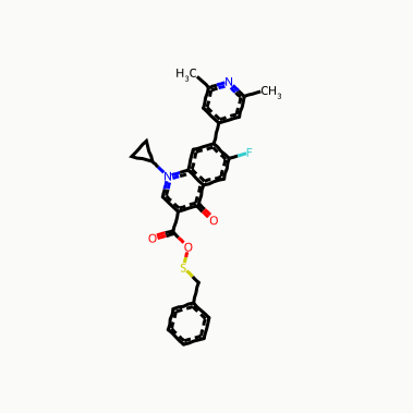 Cc1cc(-c2cc3c(cc2F)c(=O)c(C(=O)OSCc2ccccc2)cn3C2CC2)cc(C)n1